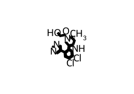 C[C@@H]1Cc2[nH]c3c(Cl)c(Cl)cc(-c4cncnc4)c3c2CN1C(=O)CO